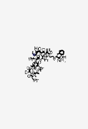 C/C=C\C[C@@H](C)[C@H](O)C(C(=O)N[C@@H](CC)C(=O)N(C)CCN(C)[C@H](Cc1ccccc1)C(N)O)N(C)C(=O)[C@@H](C(C)C)N(C)C(=O)[C@@H](CC(C)C)N(C)C(=O)[C@@H](CC(C)C)N(C)C(=O)[C@H](C)NC(=O)[C@H](CC)NC(=O)[C@H](CC(C)C)N(C)C(=O)[C@H](C)C(C)C